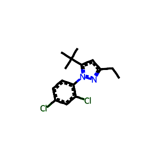 CCc1cc(C(C)(C)C)n(-c2ccc(Cl)cc2Cl)n1